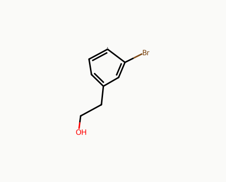 OCCc1cc[c]c(Br)c1